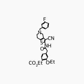 CCOC(=O)c1ccc(CC(=O)Nc2sc3c(c2C#N)CN(Cc2cccc(F)c2)CC3)cc1OCC